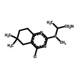 CCOC(=O)C(C)N(C)c1nc(Cl)c2c(n1)CCC(C)(C)C2